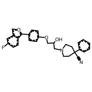 N#CC1(c2ccccc2)CCN(CC(O)COc2ccc(-c3occ4cc(F)ccc34)cc2)CC1